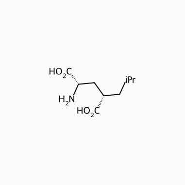 CC(C)C[C@@H](C[C@H](N)C(=O)O)C(=O)O